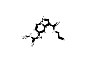 C=CCOC(=O)c1cnn2ccc(NC(=O)OC(C)(C)C)cc12